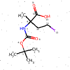 CC(C)(C)OC(=O)NC(C)(CCI)C(=O)O